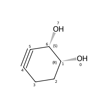 O[C@@H]1CCC#C[C@@H]1O